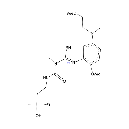 CCC(C)(O)CCNC(=O)N(C)/C(S)=N/c1cc(N(C)CCOC)ccc1OC